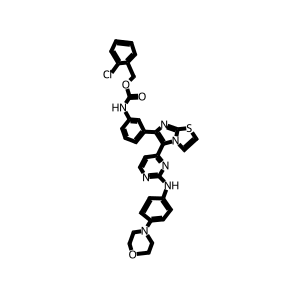 O=C(Nc1cccc(-c2nc3sccn3c2-c2ccnc(Nc3ccc(N4CCOCC4)cc3)n2)c1)OCc1ccccc1Cl